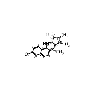 CCc1ccc2c3c(ccc2c1)S(C)=C1N(N3)C(C)N(C)N1C